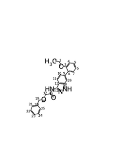 CCOc1ccccc1-c1ccc2c(NC(=O)COCc3ccccc3)n[nH]c2c1